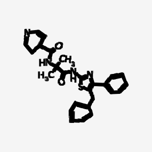 CC(C)(NC(=O)C1C=CN=CC1)C(=O)Nc1nc(-c2ccccc2)c(Cc2ccccc2)s1